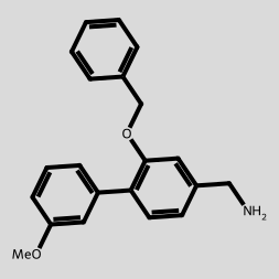 COc1cccc(-c2ccc(CN)cc2OCc2ccccc2)c1